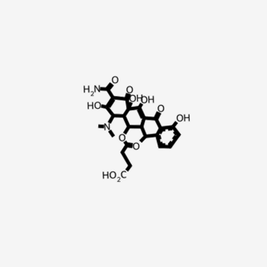 CC1c2cccc(O)c2C(=O)C2=C(O)C3(O)C(=O)C(C(N)=O)=C(O)C(N(C)C)C3C(OC(=O)CCC(=O)O)C21